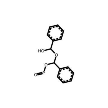 O=POC(OC(O)c1ccccc1)c1ccccc1